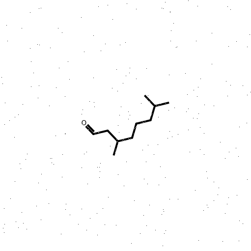 C[C](C)CCCC(C)CC=O